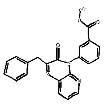 CCCOC(=O)c1cccc(-n2c(=O)c(Cc3ccccc3)nc3cccnc32)c1